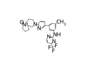 Cc1cc(Nc2nccc(C(F)(F)F)n2)cc(-c2ccc(N3CCCC4(CCC[N+]4=O)C3)nc2)c1